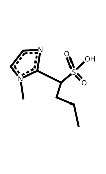 CCCC(c1nccn1C)S(=O)(=O)O